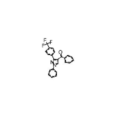 O=C(c1ccccc1)c1cn(-c2ccccc2)nc1-c1ccc(C(F)(F)F)cc1